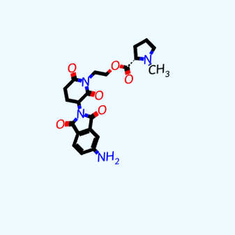 CN1CCC[C@H]1C(=O)OCCN1C(=O)CCC(N2C(=O)c3ccc(N)cc3C2=O)C1=O